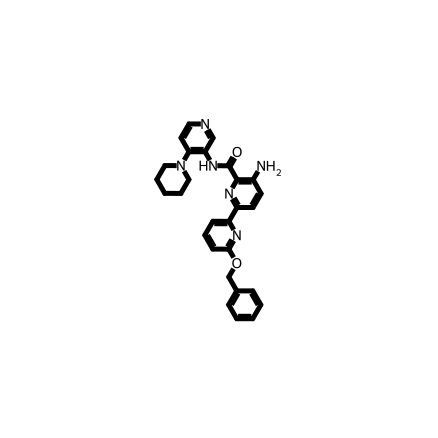 Nc1ccc(-c2cccc(OCc3ccccc3)n2)nc1C(=O)Nc1cnccc1N1CCCCC1